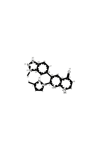 Cc1ccn(-c2nc3[nH]ccc(=O)c3cc2-c2ccc3nnn(C)c3c2)n1